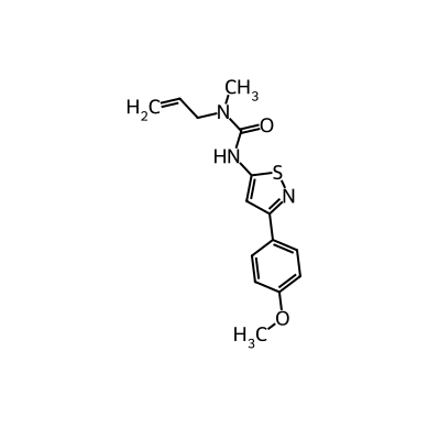 C=CCN(C)C(=O)Nc1cc(-c2ccc(OC)cc2)ns1